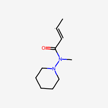 C/[C]=C/C(=O)N(C)N1CCCCC1